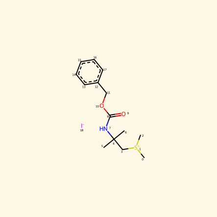 C[S+](C)CC(C)(C)NC(=O)OCc1ccccc1.[I-]